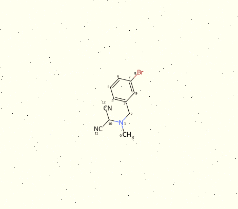 CN(Cc1cccc(Br)c1)C(C#N)C#N